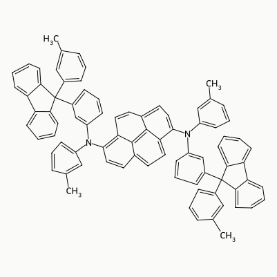 Cc1cccc(N(c2cccc(C3(c4cccc(C)c4)c4ccccc4-c4ccccc43)c2)c2ccc3ccc4c(N(c5cccc(C)c5)c5cccc(C6(c7cccc(C)c7)c7ccccc7-c7ccccc76)c5)ccc5ccc2c3c54)c1